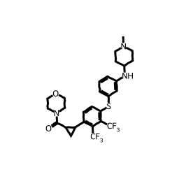 CN1CCC(Nc2cccc(Sc3ccc(C4CC4C(=O)N4CCOCC4)c(C(F)(F)F)c3C(F)(F)F)c2)CC1